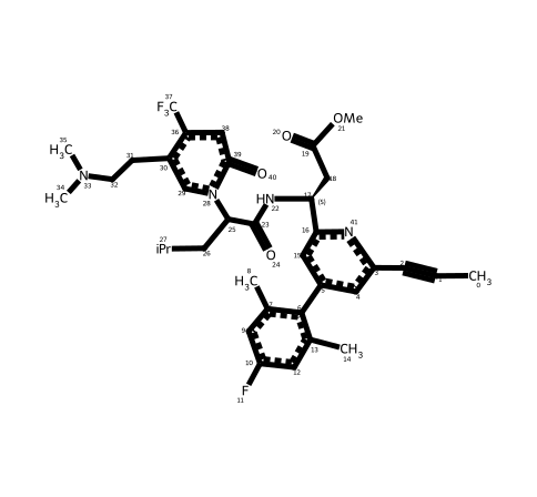 CC#Cc1cc(-c2c(C)cc(F)cc2C)cc([C@H](CC(=O)OC)NC(=O)C(CC(C)C)n2cc(CCN(C)C)c(C(F)(F)F)cc2=O)n1